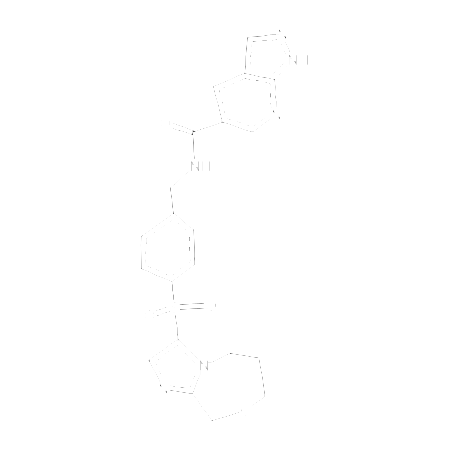 O=C(NCc1ccc(S(=O)(=O)c2cnc3n2CCCCC3)cc1)c1cnc2[nH]ncc2c1